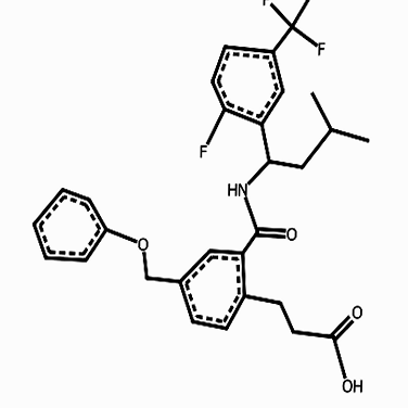 CC(C)CC(NC(=O)c1cc(COc2ccccc2)ccc1CCC(=O)O)c1cc(C(F)(F)F)ccc1F